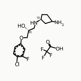 NC1CC[C@H](NC[C@@H](O)COc2ccc(Cl)c(F)c2)C1.O=C(O)C(F)(F)F